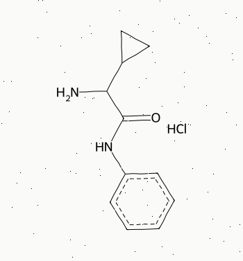 Cl.NC(C(=O)Nc1ccccc1)C1CC1